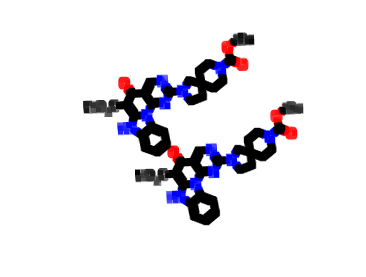 CC(C)(C)OC(=O)N1CCC2(CC1)CCN(c1ncc3c(=O)c(C(=O)O)c4[nH]c5ccccc5n4c3n1)C2.CCOC(=O)c1c(=O)c2cnc(N3CCC4(CCN(C(=O)OC(C)(C)C)CC4)C3)nc2n2c1[nH]c1ccccc12